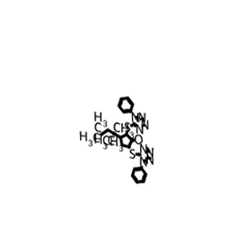 CC(C)(C)CC(C)(C)C1CC(Sc2nnnn2-c2ccccc2)C(=O)C1Sc1nnnn1-c1ccccc1